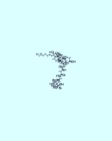 CCCCCCC(C)(O)[C@H]1CC[C@H]2[C@@H]3C[C@H](OC(=O)NCC(=O)NCCCC(O)(P(=O)(O)O)P(=O)(O)O)[C@H]4C[C@@H](O)CC[C@]4(C)[C@H]3CC[C@]12C